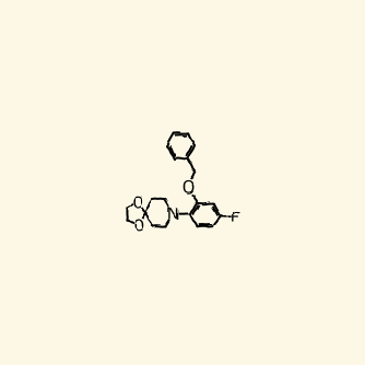 Fc1ccc(N2CCC3(CC2)OCCO3)c(OCc2ccccc2)c1